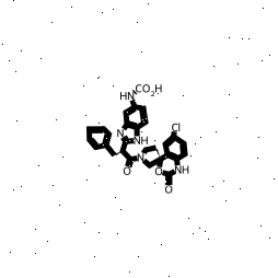 O=C(O)Nc1ccc2[nH]c([C@@H](Cc3ccccc3)C(=O)N3CC[C@@]4(C3)OC(=O)Nc3ccc(Cl)cc34)nc2c1